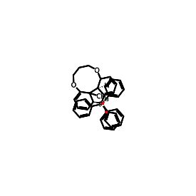 CC12C(=CC=C[C@@H]1P(c1ccccc1)c1ccccc1)OCCCOC1C=CC=C(P(c3ccccc3)c3ccccc3)[C@H]12